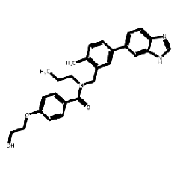 CCCN(Cc1cc(-c2ccc3nc[nH]c3c2)ccc1C)C(=O)c1ccc(OCCO)cc1